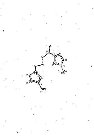 CC(C)c1cn(CCCC(C)c2ccn(C(C)C)n2)cn1